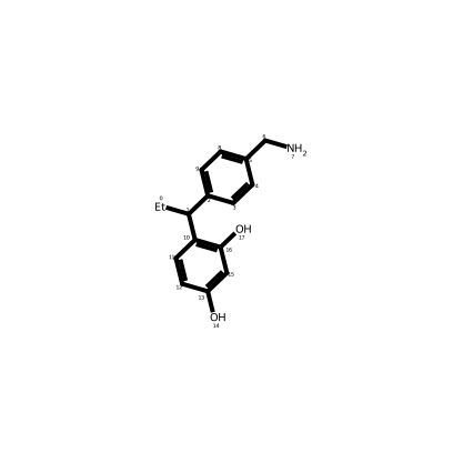 CCC(c1ccc(CN)cc1)c1ccc(O)cc1O